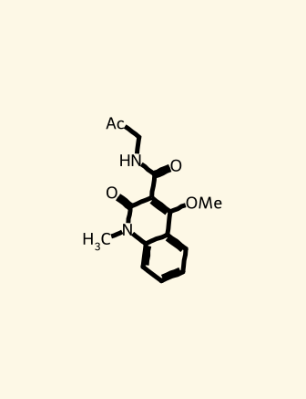 COc1c(C(=O)NCC(C)=O)c(=O)n(C)c2ccccc12